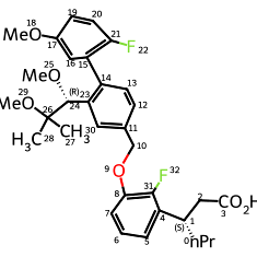 CCC[C@@H](CC(=O)O)c1cccc(OCc2ccc(-c3cc(OC)ccc3F)c([C@@H](OC)C(C)(C)OC)c2)c1F